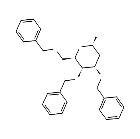 CO[C@H]1C[C@@H](OCc2ccccc2)[C@@H](OCc2ccccc2)[C@@H](COCc2ccccc2)O1